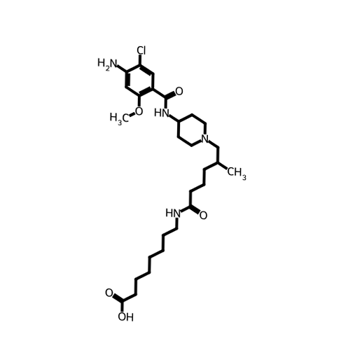 COc1cc(N)c(Cl)cc1C(=O)NC1CCN(CC(C)CCCC(=O)NCCCCCCCC(=O)O)CC1